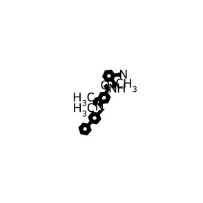 Cc1c(C)n(Cc2ccc(-c3ccccc3)cc2)c2ccc(C(=O)N[C@@H](C)c3ccccc3C#N)cc12